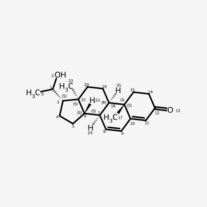 CC(O)[C@H]1CC[C@H]2[C@@H]3C=CC4=CC(=O)CC[C@@]4(C)[C@@H]3CC[C@]12C